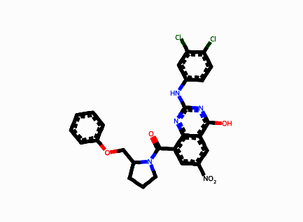 O=C(c1cc([N+](=O)[O-])cc2c(O)nc(Nc3ccc(Cl)c(Cl)c3)nc12)N1CCCC1COc1ccccc1